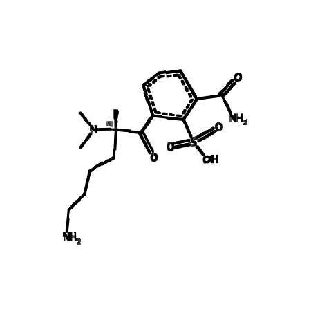 CN(C)[C@@](C)(CCCCN)C(=O)c1cccc(C(N)=O)c1S(=O)(=O)O